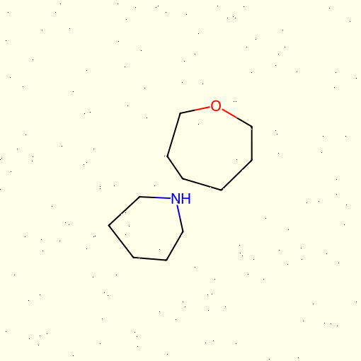 C1CCCOCC1.C1CCNCC1